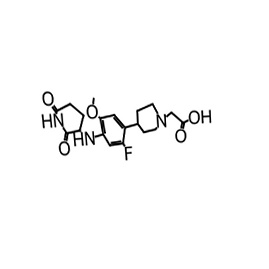 COc1cc(C2CCN(CC(=O)O)CC2)c(F)cc1NC1CCC(=O)NC1=O